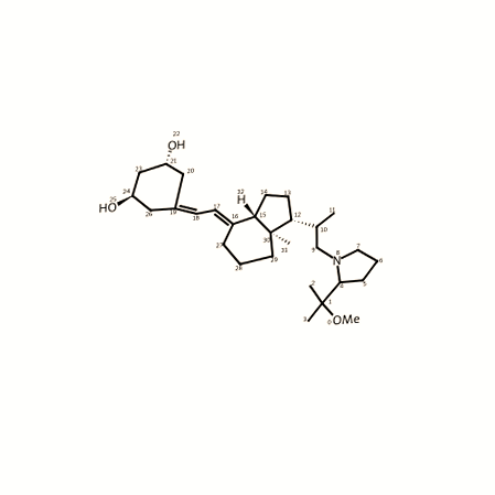 COC(C)(C)C1CCCN1CC(C)[C@H]1CC[C@H]2C(=CC=C3C[C@@H](O)C[C@H](O)C3)CCC[C@]12C